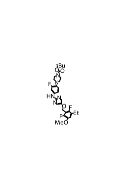 CCc1cc(OC)c(F)c(COc2cnc(Nc3ccc(N4CCN(C(=O)OC(C)(C)C)CC4)c(F)c3)nc2)c1F